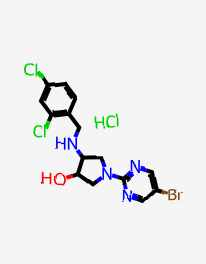 Cl.OC1CN(c2ncc(Br)cn2)CC1NCc1ccc(Cl)cc1Cl